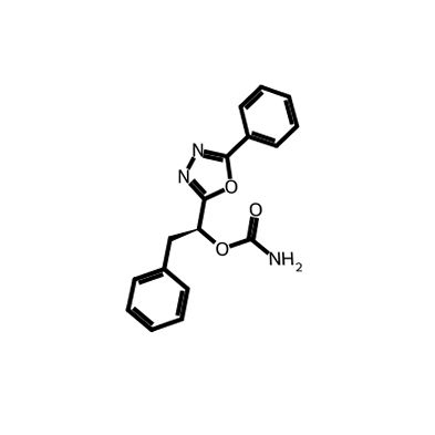 NC(=O)O[C@@H](Cc1ccccc1)c1nnc(-c2ccccc2)o1